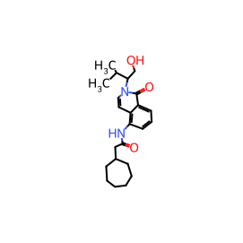 CC(C)C(CO)n1ccc2c(NC(=O)CC3CCCCCC3)cccc2c1=O